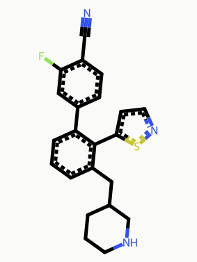 N#Cc1ccc(-c2cccc(CC3CCCNC3)c2-c2ccns2)cc1F